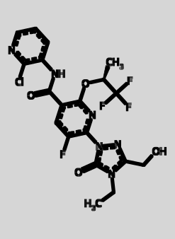 CCn1c(CO)nn(-c2nc(O[C@@H](C)C(F)(F)F)c(C(=O)Nc3cccnc3Cl)cc2F)c1=O